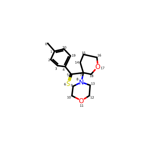 Cc1ccc(C(=S)C2(N3CCOCC3)CCCOC2)cc1